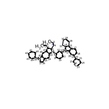 C=Cc1c(/C=C\C)n(-c2cccc(-n3c4c(c5ccc(-c6ccccc6)cc53)C=CCC4)c2)c2cc3ccn(-c4ccccc4)c3cc12